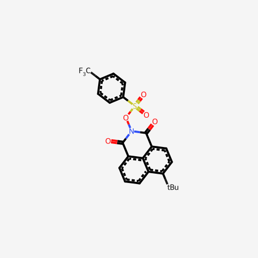 CC(C)(C)c1ccc2c3c(cccc13)C(=O)N(OS(=O)(=O)c1ccc(C(F)(F)F)cc1)C2=O